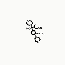 CC(CC#N)C(C#N)(c1ccc(N2CCOCC2)c([N+](=O)[O-])c1)N1CCOCC1